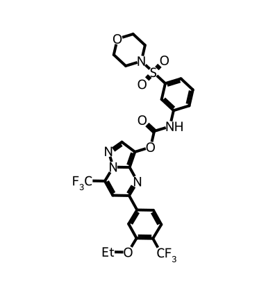 CCOc1cc(-c2cc(C(F)(F)F)n3ncc(OC(=O)Nc4cccc(S(=O)(=O)N5CCOCC5)c4)c3n2)ccc1C(F)(F)F